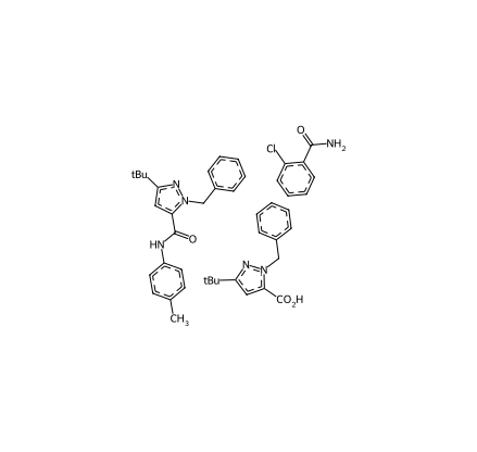 CC(C)(C)c1cc(C(=O)O)n(Cc2ccccc2)n1.Cc1ccc(NC(=O)c2cc(C(C)(C)C)nn2Cc2ccccc2)cc1.NC(=O)c1ccccc1Cl